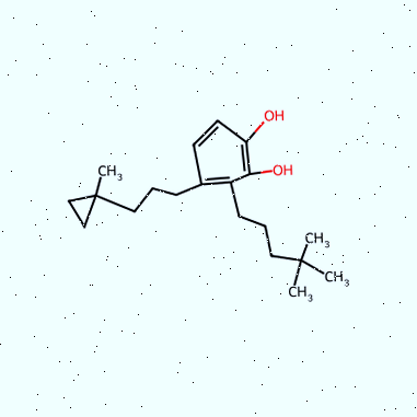 CC(C)(C)CCCc1c(CCCC2(C)CC2)ccc(O)c1O